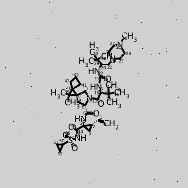 C=C[C@@H]1C[C@]1(NC(=O)[C@@H]1C[C@@]2(CN1C(=O)[C@@H](NC(=O)N[C@H](CN1CCN(C)CC1)C(C)(C)C)C(C)(C)C)C(C)(C)C21CCC1)C(=O)NS(=O)(=O)C1CC1